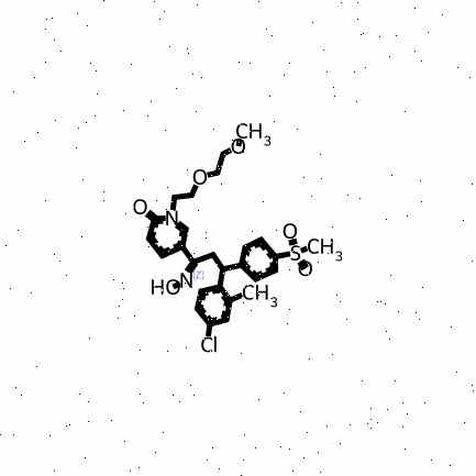 COCCOCCn1cc(/C(CC(c2ccc(S(C)(=O)=O)cc2)c2ccc(Cl)cc2C)=N\O)ccc1=O